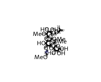 COC/C=C/O[C@H]1C(O)[C@H](O[C@@H]2O[C@@H](COC=C(C)C)[C@@H](O)C(O)C2OC)C(COC)O[C@H]1O[C@H]1C(O)C(O)[C@H](O)O[C@H]1COC